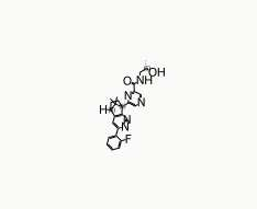 C[C@H](O)CNC(=O)c1cncc([C@@]23CC[C@@H](c4cc(-c5ccccc5F)nnc42)C3(C)C)n1